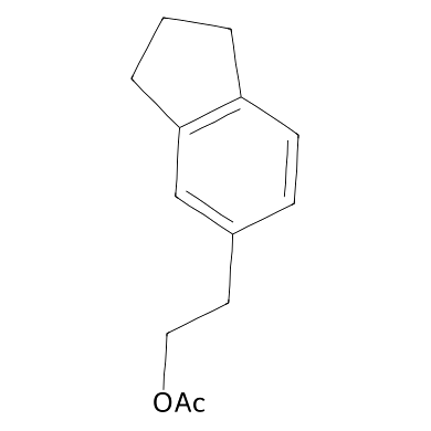 CC(=O)OCCc1ccc2c(c1)CCC2